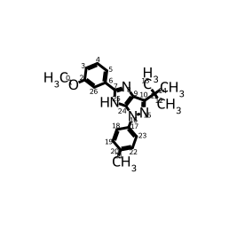 COc1cccc(-c2nc3c(C(C)(C)C)nn(-c4ccc(C)cc4)c3[nH]2)c1